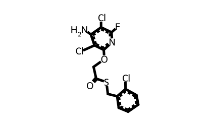 Nc1c(Cl)c(F)nc(OCC(=O)SCc2ccccc2Cl)c1Cl